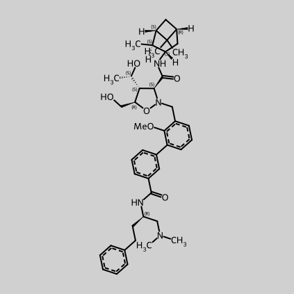 COc1c(CN2O[C@@H](CO)[C@H]([C@H](C)O)[C@H]2C(=O)N[C@H]2C[C@H]3C[C@@H]([C@@H]2C)C3(C)C)cccc1-c1cccc(C(=O)N[C@H](CCc2ccccc2)CN(C)C)c1